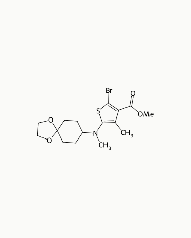 COC(=O)c1c(Br)sc(N(C)C2CCC3(CC2)OCCO3)c1C